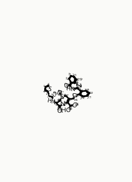 O=C(Cc1cccs1)NC1C(=O)N2C(C(=O)O)=C(COc3ccccc3-c3nc4ccccc4c(=O)[nH]3)C[S+]([O-])C12